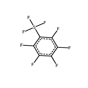 Fc1c(F)c(F)c(S(F)(F)F)c(F)c1F